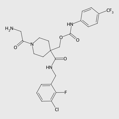 NCC(=O)N1CCC(COC(=O)Nc2ccc(C(F)(F)F)cc2)(C(=O)NCc2cccc(Cl)c2F)CC1